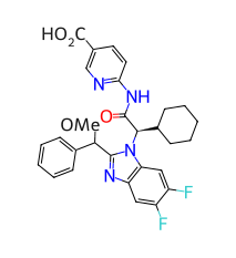 COC(c1ccccc1)c1nc2cc(F)c(F)cc2n1[C@@H](C(=O)Nc1ccc(C(=O)O)cn1)C1CCCCC1